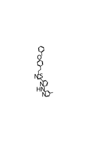 Cc1ccnc(Nc2cccc(-c3cnc(CCc4ccc(OCc5ccccc5)cc4)s3)n2)c1